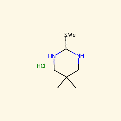 CSC1NCC(C)(C)CN1.Cl